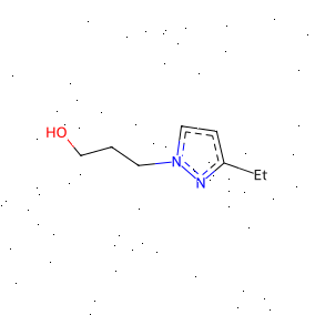 CCc1ccn(CCCO)n1